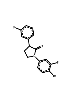 O=C1C(c2cccc(F)c2)CCN1c1ccc(Br)c(F)c1